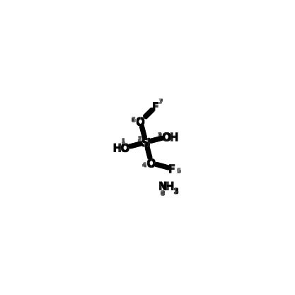 N.O[Si](O)(OF)OF